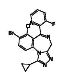 Fc1cccnc1C1=NCc2nnc(C3CC3)n2-c2ccc(Br)c(Cl)c21